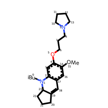 CCC(C)N1c2cc(OCCCN3CCCC3)c(OC)cc2C=C2CCCC21